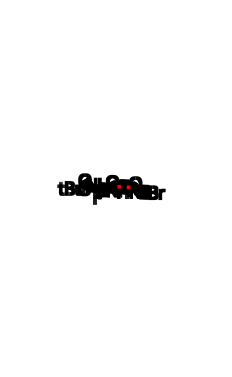 CC(C)(C)OC(=O)NCc1ccc(NC(=O)C23CCC(C(=O)Nc4ccc(Br)cc4)(CC2)CC3)cc1F